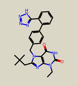 CCn1c(=O)[nH]c(=O)c2c1nc(CC(C)(C)C)n2Cc1ccc(-c2ccccc2-c2nnn[nH]2)cc1